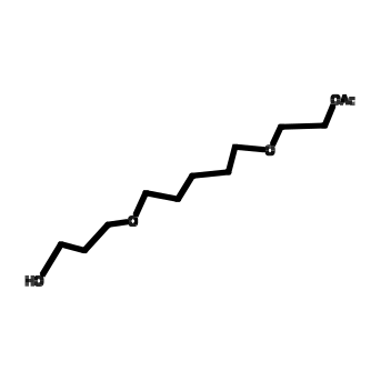 CC(=O)OCCOCCCCCOCCCO